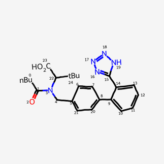 CCCCC(=O)N(Cc1ccc(-c2ccccc2-c2nnn[nH]2)cc1)C(C(=O)O)C(C)(C)C